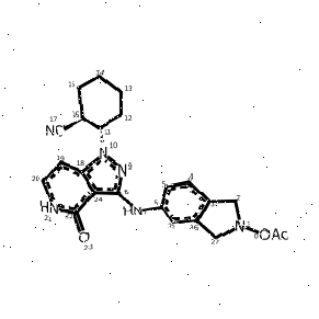 CC(=O)ON1Cc2ccc(Nc3nn([C@H]4CCCC[C@@H]4C#N)c4cc[nH]c(=O)c34)cc2C1